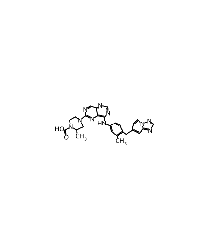 Cc1cc(Nc2ncnc3cnc(N4CCN(C(=O)O)[C@H](C)C4)nc23)ccc1Cc1ccn2ncnc2c1